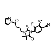 CSc1c(C#N)ccc(N2C(=O)C(C)(C)N(CCCC(=O)n3cccn3)C2=S)c1F